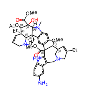 CCC1=C[C@H]2CN(C1)Cc1c([nH]c3ccc(N)cc13)[C@@](C(=O)OC)(c1cc3c(cc1OC)N(C)[C@H]1[C@@](O)(C(=O)OC)[C@H](OC(C)=O)[C@]4(CC)C=CCN5CC[C@]31[C@@H]54)C2